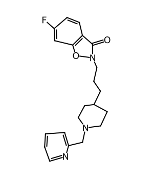 O=c1c2ccc(F)cc2on1CCCC1CCN(Cc2ccccn2)CC1